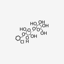 OC[C@H]1O[C@@H](OC[C@H]2O[C@@H](O)[C@H](OCc3ccccc3Cl)[C@@H](O)[C@@H]2O)[C@H](O)[C@@H](O)[C@@H]1O